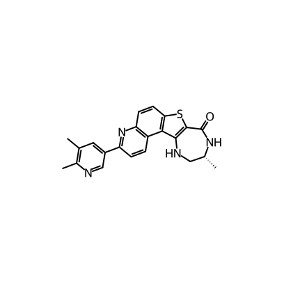 Cc1cc(-c2ccc3c(ccc4sc5c(c43)NC[C@@H](C)NC5=O)n2)cnc1C